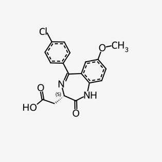 COc1ccc2c(c1)C(c1ccc(Cl)cc1)=N[C@@H](CC(=O)O)C(=O)N2